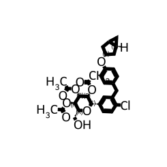 CC(=O)O[C@@H]1[C@@H](OC(C)=O)[C@H](c2ccc(Cl)c(Cc3ccc(O[C@@H]4CC5C[C@H]5C4)cc3)c2)O[C@H](CO)[C@H]1OC(C)=O